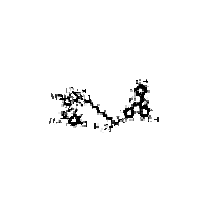 CCN(CCCCCCCCN[C@H](C(=O)N1C[C@H](O)C[C@H]1C(=O)N[C@@H](C)c1ccc(Cl)cc1)C(C)(C)C)CCOc1ccc(C(=O)c2c(-c3ccc(O)cc3)sc3cc(O)ccc23)cc1